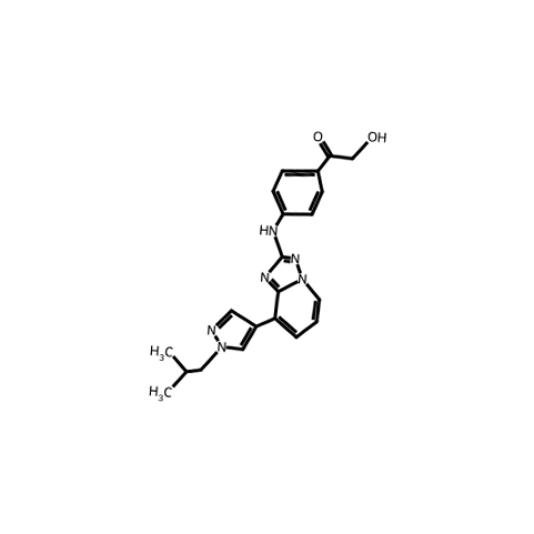 CC(C)Cn1cc(-c2cccn3nc(Nc4ccc(C(=O)CO)cc4)nc23)cn1